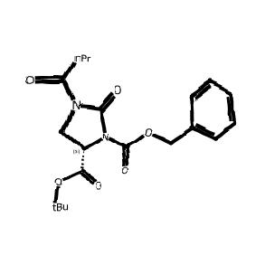 CCCC(=O)N1C[C@@H](C(=O)OC(C)(C)C)N(C(=O)OCc2ccccc2)C1=O